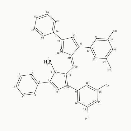 Bn1c(-c2ccccc2)cc(-c2cc(C)cc(C)c2)c1/C=C1\N=C(c2ccccc2)C=C1c1cc(C)cc(C)c1